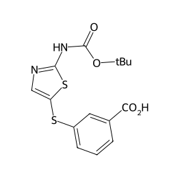 CC(C)(C)OC(=O)Nc1ncc(Sc2cccc(C(=O)O)c2)s1